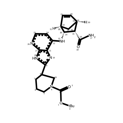 CC(C)(C)OC(=O)N1CCCC(c2nc3c(N[C@H]4[C@@H](C(N)=O)[C@@H]5C=C[C@H]4C5)ccnc3[nH]2)C1